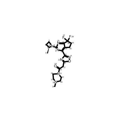 C[C@H]1CCN1c1nc(-c2noc(CC(=O)N3CCN(C)CC3)n2)c2c(n1)C(F)(F)CC2